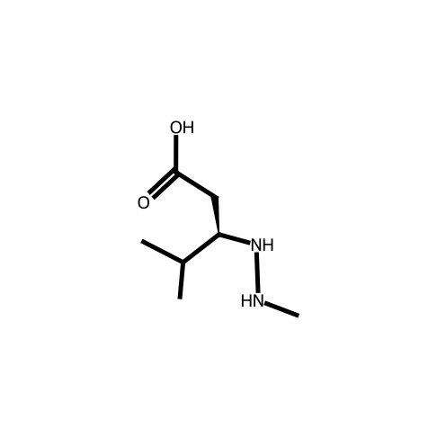 CNN[C@H](CC(=O)O)C(C)C